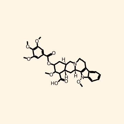 COc1cc(C(=O)OC2C[C@H]3CN4CCc5c(n(OC)c6ccccc56)[C@@H]4C[C@@H]3C(C(=O)O)C2OC)cc(OC)c1OC